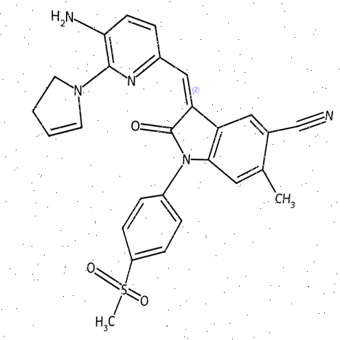 Cc1cc2c(cc1C#N)/C(=C/c1ccc(N)c(N3C=CCC3)n1)C(=O)N2c1ccc(S(C)(=O)=O)cc1